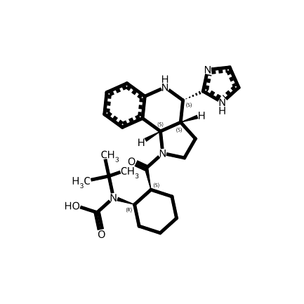 CC(C)(C)N(C(=O)O)[C@@H]1CCCC[C@@H]1C(=O)N1CC[C@H]2[C@@H](c3ncc[nH]3)Nc3ccccc3[C@H]21